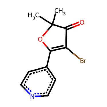 CC1(C)OC(c2ccncc2)=C(Br)C1=O